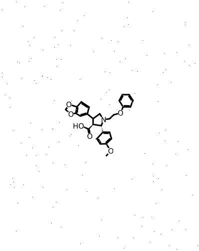 COc1ccc([C@@H]2[C@@H](C(=O)O)C(c3ccc4c(c3)OCO4)CN2CCOc2ccccc2)cc1